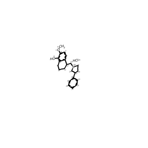 COc1ccc2c(c1O)CCCC2CN1CCC(c2ccccc2)C1.Cl